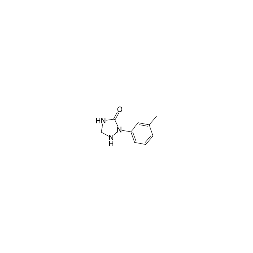 Cc1cccc(N2NCNC2=O)c1